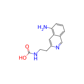 Nc1cccc2cnc(CCNC(=O)O)cc12